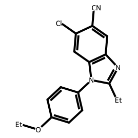 CCOc1ccc(-n2c(CC)nc3cc(C#N)c(Cl)cc32)cc1